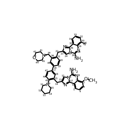 COc1cccc2c1nc(N)n1cc(Cc3cc(-c4ccc(Cc5cn6c(N)nc7c(F)cccc7c6n5)c(CN5CCOCC5)c4)ccc3N3CCCCC3)nc21